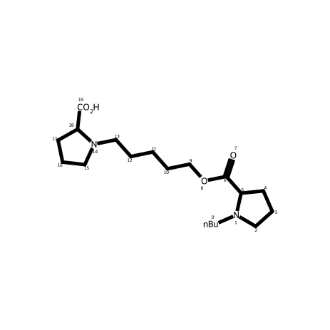 CCCCN1CCCC1C(=O)OCCCCCN1CCCC1C(=O)O